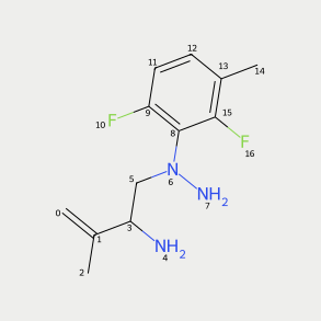 C=C(C)C(N)CN(N)c1c(F)ccc(C)c1F